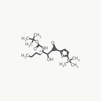 CCCC[C@H](NC(=O)OC(C)(C)C)C(O)c1c(-c2ccc([Si](C)(C)C)s2)c1=O